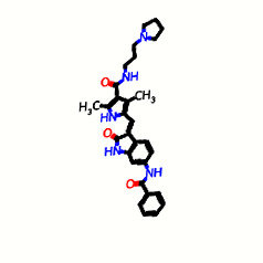 Cc1[nH]c(/C=C2\C(=O)Nc3cc(NC(=O)c4ccccc4)ccc32)c(C)c1C(=O)NCCCN1CCCC1